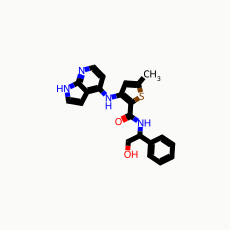 Cc1cc(Nc2ccnc3[nH]ccc23)c(C(=O)NC(CO)c2ccccc2)s1